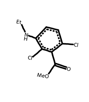 CCNc1ccc(Cl)c(C(=O)OC)c1Cl